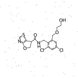 O=C(NCc1c(Cl)cc(Cl)cc1COCCO)C1COc2ncsc21